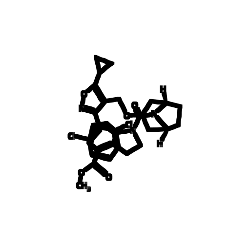 COC(=O)c1cccc2c1CCN2C(=O)N1[C@@H]2CC[C@H]1CC(OCc1c(-c3c(Cl)cccc3Cl)noc1C1CC1)C2